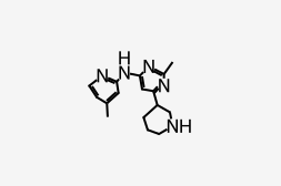 Cc1ccnc(Nc2cc(C3CCCNC3)nc(C)n2)c1